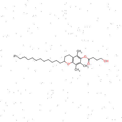 Cc1c(C)c2c(c(C)c1OC(=O)CCCO)CCC(CCCCCCCCCCCC(C)C)O2